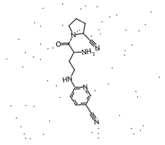 N#Cc1ccc(NCCC(N)C(=O)N2CCCC2C#N)nc1